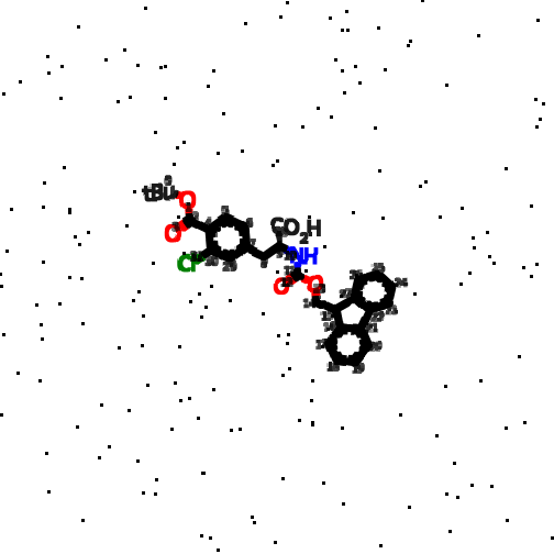 CC(C)(C)OC(=O)c1ccc(C[C@H](NC(=O)OCC2c3ccccc3-c3ccccc32)C(=O)O)cc1Cl